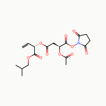 C=C[C@H](OC(=O)C[C@H](OC(C)=O)C(=O)ON1C(=O)CCC1=O)C(=O)OCC(C)C